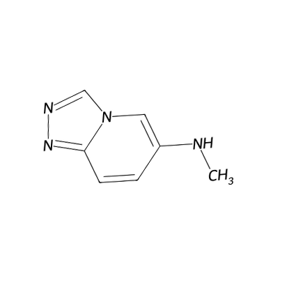 CNc1ccc2nncn2c1